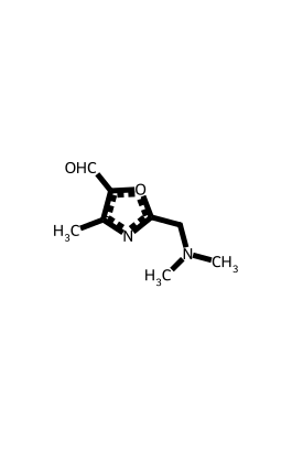 Cc1nc(CN(C)C)oc1C=O